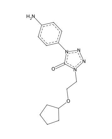 Nc1ccc(-n2nnn(CCOC3CCCC3)c2=O)cc1